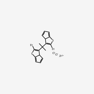 CCC1=C(C(C)(C)C2=C(CC)SC3=CC=CC32)C2C=CC=C2S1.[Cl-].[Cl-].[Zr+2]